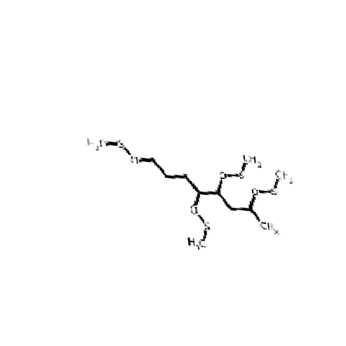 CSOCCCC(OSC)C(CC(C)OSC)OSC